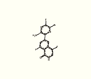 Nc1nc(F)c(Br)nc1-c1cc(F)c2c(=O)[nH]cc(F)c2c1